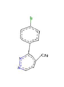 N#Cc1ccnnc1-c1ccc(Br)cc1